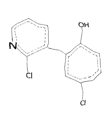 Oc1ccc(Cl)cc1-c1cccnc1Cl